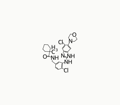 CC1(C(=O)NCc2ccc(Cl)c(Nc3nc4cc(Cl)c(N5CCOCC5)cc4[nH]3)c2)CCCCC1